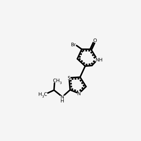 CC(C)Nc1ncc(-c2c[nH]c(=O)c(Br)c2)s1